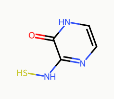 O=c1[nH]ccnc1NS